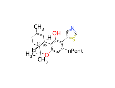 CCCCCc1cc2c(c(O)c1-c1cncs1)[C@@H]1C=C(C)CC[C@H]1C(C)(C)O2